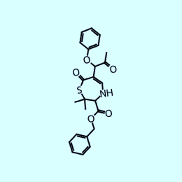 CC(=O)C(Oc1ccccc1)C1=CNC(C(=O)OCc2ccccc2)C(C)(C)SC1=O